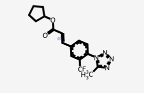 Cc1nnnn1-c1ccc(/C=C/C(=O)OC2CCCC2)cc1C(F)(F)F